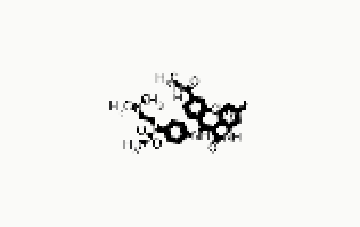 CNC(=O)c1ccc(/C(Nc2ccc(N(CCN(C)C)S(C)(=O)=O)cc2)=C2/C(=O)Nc3cc(F)ccc32)c(C)c1